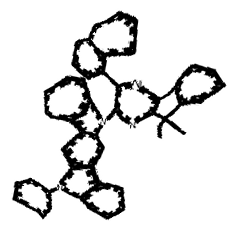 CC1(C)c2ccccc2-c2nc(-c3cccc4ccccc34)c(-n3c4ccccc4c4cc5c(cc43)c3ccccc3n5-c3ccccc3)nc21